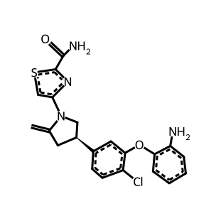 C=C1C[C@H](c2ccc(Cl)c(Oc3ccccc3N)c2)CN1c1csc(C(N)=O)n1